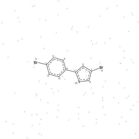 Brc1ccc(-c2cc(Br)cs2)cc1